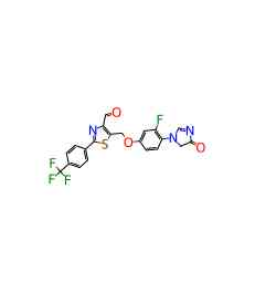 O=Cc1nc(-c2ccc(C(F)(F)F)cc2)sc1COc1ccc(N2C=NC(=O)C2)c(F)c1